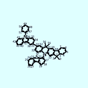 CC1(C)c2ccccc2-c2cc3c(cc21)N(c1cccc2c1sc1ccccc12)c1ccc(-c2ccc4c(c2)c2ccccc2n4-c2ccccc2)cc1C3(C)C